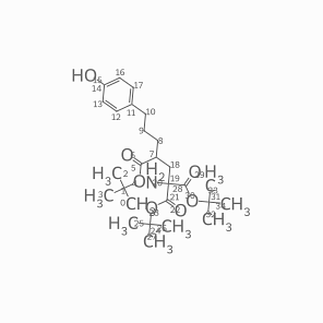 CC(C)(C)OC(=O)C(CCCc1ccc(O)cc1)CC(N)(C(=O)OC(C)(C)C)C(=O)OC(C)(C)C